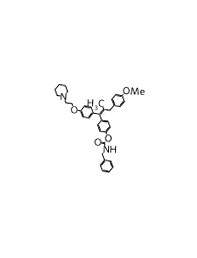 COc1ccc(C/C(C)=C(/c2ccc(OCCN3CCCCC3)cc2)c2ccc(OC(=O)NCc3ccccc3)cc2)cc1